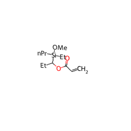 C=CC(=O)OC(CC)[Si](CC)(CCC)OC